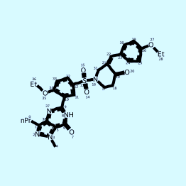 CCCc1nn(C)c2c(=O)[nH]c(-c3cc(S(=O)(=O)N4CCC(=O)/C(=C\c5ccc(OCC)cc5)C4)ccc3OCC)nc12